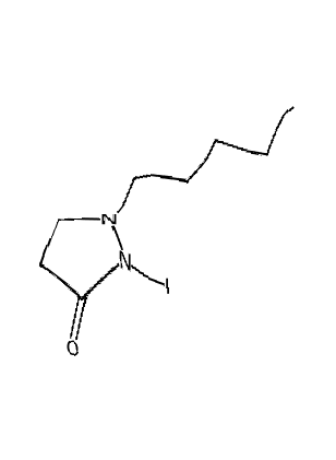 CCCCCN1CCC(=O)N1I